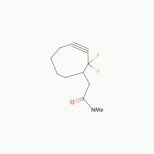 CNC(=O)CC1CCCCC#CC1(F)F